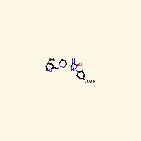 COc1ccc(-n2nc([C@H]3CCCN(Cc4cc(OC)ccn4)C3)[nH]c2=O)cc1